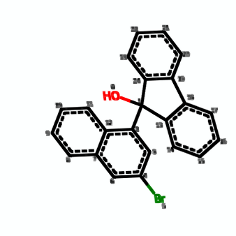 OC1(c2cc(Br)cc3ccccc23)c2ccccc2-c2ccccc21